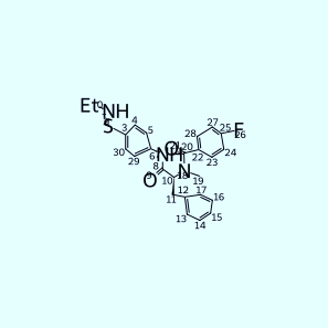 CCNSc1ccc(NC(=O)[C@H](Cc2ccccc2)N(C)C(=O)c2ccc(F)cc2)cc1